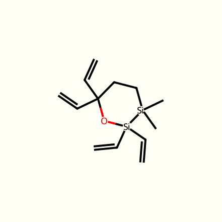 C=CC1(C=C)CC[Si](C)(C)[Si](C=C)(C=C)O1